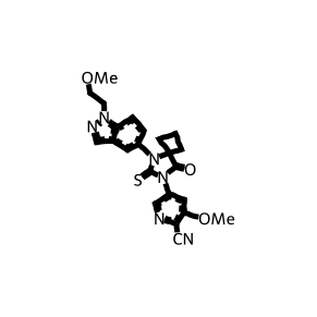 COCCn1ncc2cc(N3C(=S)N(c4cnc(C#N)c(OC)c4)C(=O)C34CCC4)ccc21